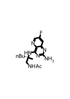 CCCC[C@](C)(CNC(C)=O)Nc1nc(N)nc2cc(F)cnc12